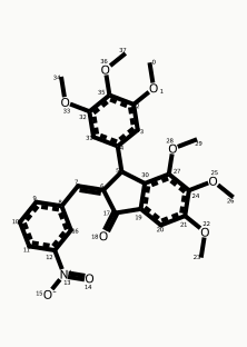 COc1cc(C2/C(=C/c3cccc([N+](=O)[O-])c3)C(=O)c3cc(OC)c(OC)c(OC)c32)cc(OC)c1OC